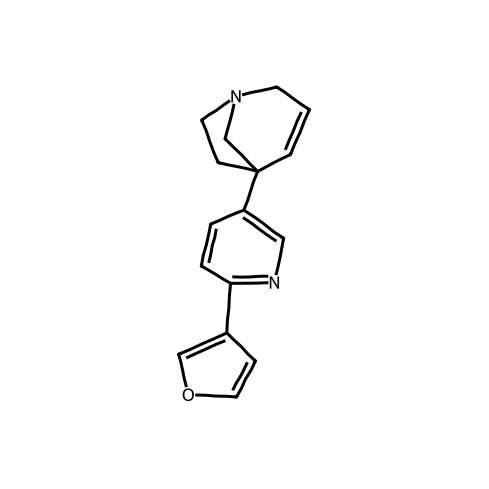 C1=CC2(c3ccc(-c4ccoc4)nc3)CCN(C1)C2